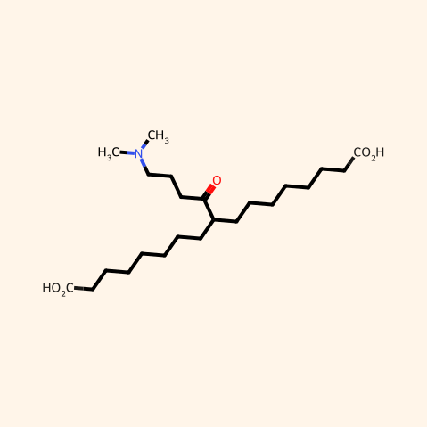 CN(C)CCCC(=O)C(CCCCCCCC(=O)O)CCCCCCCC(=O)O